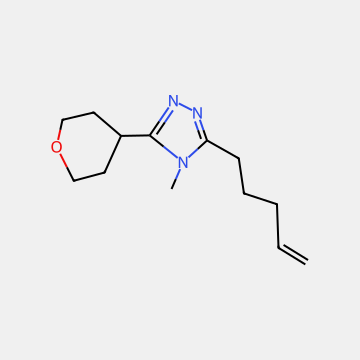 C=CCCCc1nnc(C2CCOCC2)n1C